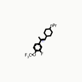 CCCC1CCC(/C=C(\C)c2ccc(OC(F)(F)F)c(F)c2)CC1